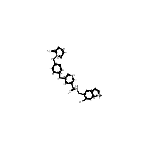 O=C(NCc1cc2cc[nH]c2cc1F)c1cncc(Cc2ccc(Cn3ccccc3=O)cc2)c1